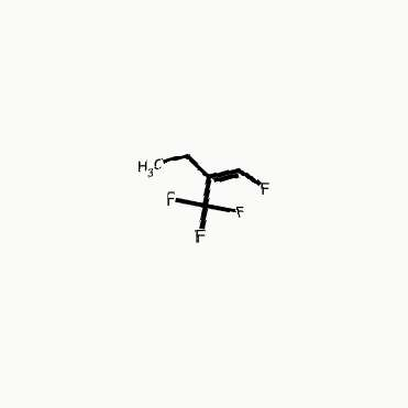 CCC(=CF)C(F)(F)F